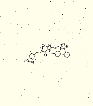 CCCc1nc(Cl)c(C(=O)NCCc2ccc(O)c([123I])c2)n1Cc1ccc(-c2ccccc2-c2nnn[nH]2)cc1